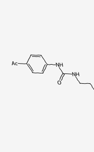 CC(=O)c1ccc(NC(=O)NCCN)cc1